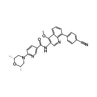 COc1c(NC(=O)c2ccc(N3C[C@@H](C)O[C@@H](C)C3)nc2)cnc2c(-c3ccc(C#N)cc3)cccc12